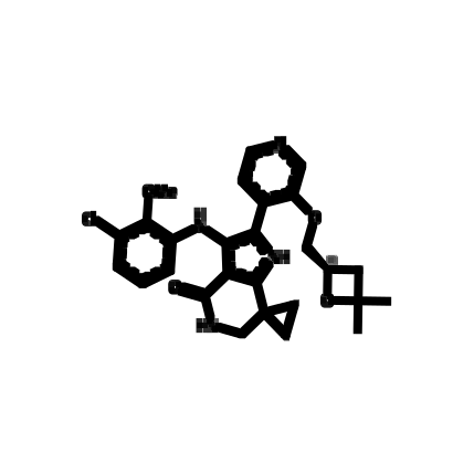 COc1c(Cl)cccc1Nc1c(-c2ccncc2OC[C@H]2CC(C)(C)O2)[nH]c2c1C(=O)NCC21CC1